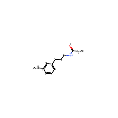 CNC(=O)NCCCc1cccc(OC)c1